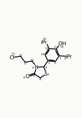 CC(C)c1cc(C2SCC(=O)N2CCCCl)cc(C(C)C)c1O